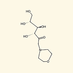 O=C(CN1CCOCC1)[C@H](O)[C@H](O)[C@H](O)CO